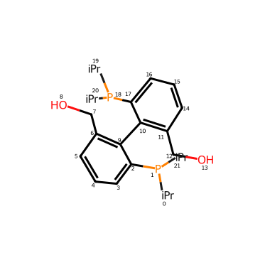 CC(C)P(c1cccc(CO)c1-c1c(CO)cccc1P(C(C)C)C(C)C)C(C)C